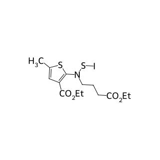 CCOC(=O)CCCN(SI)c1sc(C)cc1C(=O)OCC